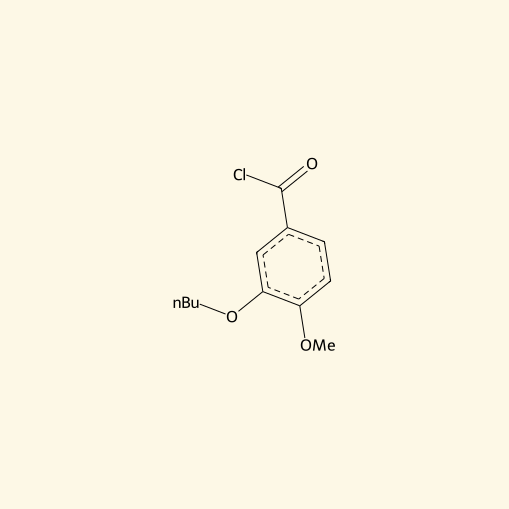 CCCCOc1cc(C(=O)Cl)ccc1OC